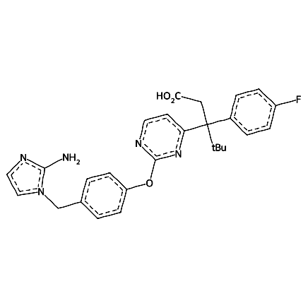 CC(C)(C)C(CC(=O)O)(c1ccc(F)cc1)c1ccnc(Oc2ccc(Cn3ccnc3N)cc2)n1